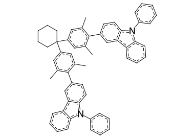 Cc1cc(C2(c3cc(C)c(-c4ccc5c(c4)c4ccccc4n5-c4ccccc4)c(C)c3)CCCCC2)cc(C)c1-c1ccc2c(c1)c1ccccc1n2-c1ccccc1